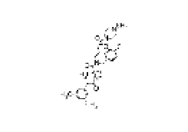 Cc1cc(C)cc(CC(=O)N2CCC2(C)C(=O)N(CCCS(=O)(=O)N2CCN(C)CC2)Cc2ccc(Cl)cc2)c1